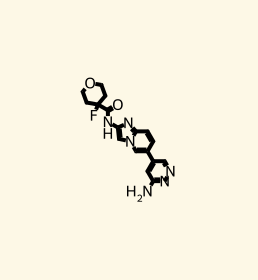 Nc1cc(-c2ccc3nc(NC(=O)C4(F)CCOCC4)cn3c2)cnn1